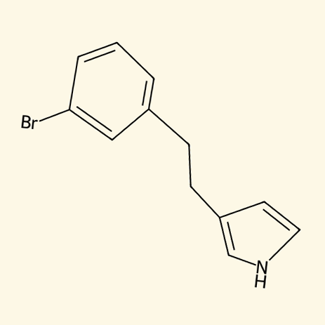 Brc1cccc(CCc2cc[nH]c2)c1